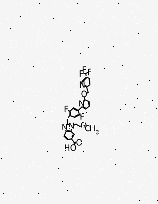 COCCn1c(Cc2cc(F)c(-c3cccc(OCc4ccc(C(F)(F)F)cn4)n3)cc2F)nc2ccc(C(=O)O)cc21